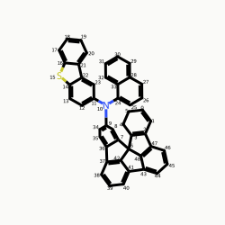 C1=CC2=C(CC1)C13c4cc(N(c5ccc6sc7ccccc7c6c5)c5cccc6ccccc56)ccc4-c4cccc(c41)-c1cccc2c13